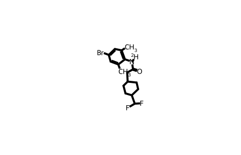 [2H]N(C(=O)CC1CCC(C(F)F)CC1)c1c(C)cc(Br)cc1C